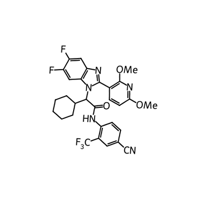 COc1ccc(-c2nc3cc(F)c(F)cc3n2C(C(=O)Nc2ccc(C#N)cc2C(F)(F)F)C2CCCCC2)c(OC)n1